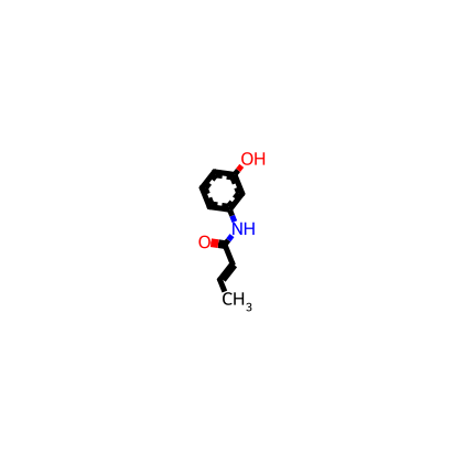 CC=CC(=O)Nc1cccc(O)c1